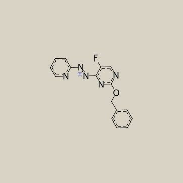 Fc1cnc(OCc2ccccc2)nc1/N=N/c1ccccn1